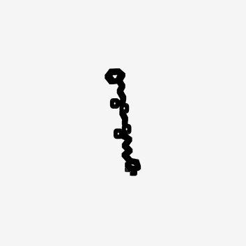 O=C(CCCCC1CCSS1)OCCCOC(=O)CCCc1ccccc1